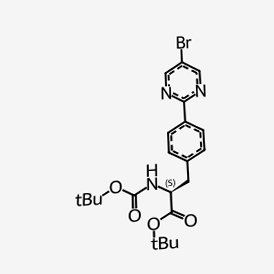 CC(C)(C)OC(=O)N[C@@H](Cc1ccc(-c2ncc(Br)cn2)cc1)C(=O)OC(C)(C)C